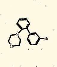 Brc1cc[c]c(-c2ccccc2N2CCOCC2)c1